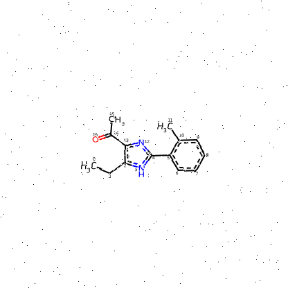 CCc1[nH]c(-c2ccccc2C)nc1C(C)=O